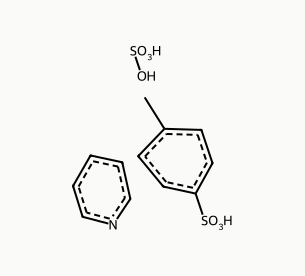 Cc1ccc(S(=O)(=O)O)cc1.O=S(=O)(O)O.c1ccncc1